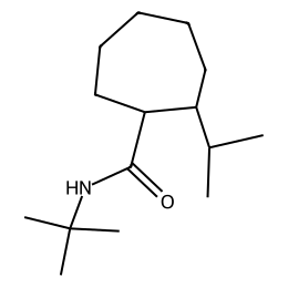 CC(C)C1CCCCCC1C(=O)NC(C)(C)C